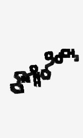 CCOC(=O)CCc1cccc(NC(=O)c2cccc(-c3ccccc3)n2)c1